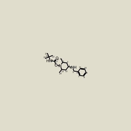 CC1CC(NCc2ccccc2)CC(C)N1OC(=O)NC(C)(C)C